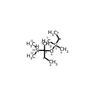 CCC(C)(O[Si](C)(C)CC)[SiH](C)C